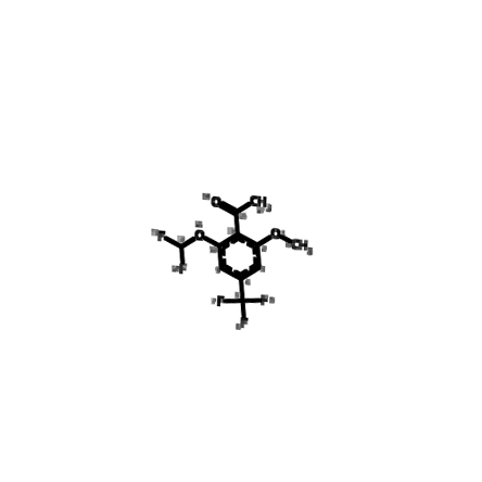 COc1cc(C(F)(F)F)cc(OC(F)F)c1C(C)=O